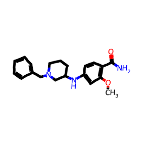 COc1cc(NC2CCCN(Cc3ccccc3)C2)ccc1C(N)=O